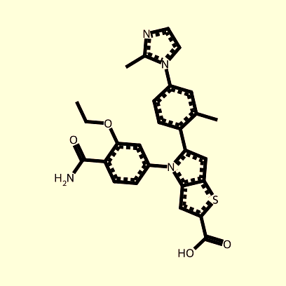 CCOc1cc(-n2c(-c3ccc(-n4ccnc4C)cc3C)cc3sc(C(=O)O)cc32)ccc1C(N)=O